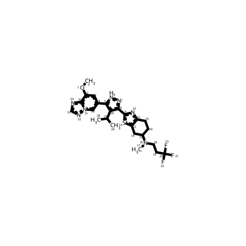 COc1cc(-c2[nH]nc(-c3nc4c(s3)CC(N(C)CCC(F)(F)F)CC4)c2C(C)C)cn2ncnc12